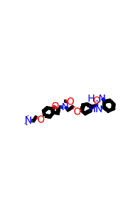 CN(C)CCOc1ccc2oc(N(C=O)CCOc3ccc(C(=O)Nc4ccccc4N)cc3)cc2c1